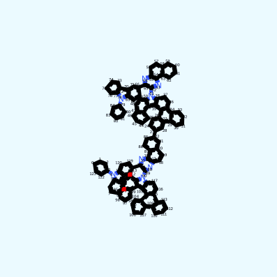 c1ccc(-n2c3ccccc3c3cc(-c4nc5c(ccc6cc(-c7ccc8c(c7)c7ccccc7c7ccc9c(c78)c7c8ccccc8ccc7n9-c7nc8c(ccc9ccccc98)nc7-c7ccc8c(c7)c7ccccc7n8-c7ccccc7)ccc65)nc4-n4c5ccc6ccccc6c5c5c6c7ccccc7c7ccccc7c6ccc54)ccc32)cc1